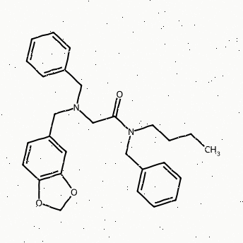 CCCCN(Cc1ccccc1)C(=O)CN(Cc1ccccc1)Cc1ccc2c(c1)OCO2